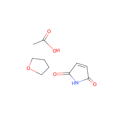 C1CCOC1.CC(=O)O.O=C1C=CC(=O)N1